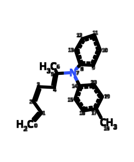 C=C/C=C\C=C(/C)N(c1ccccc1)c1ccc(C)cc1